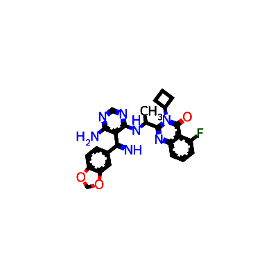 CC(Nc1ncnc(N)c1C(=N)c1ccc2c(c1)OCO2)c1nc2cccc(F)c2c(=O)n1C1CCC1